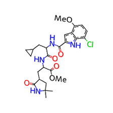 COC(=O)C(CC1CC(C)(C)NC1=O)NC(=O)C(CC1CC1)NC(=O)c1cc2c(OC)ccc(Cl)c2[nH]1